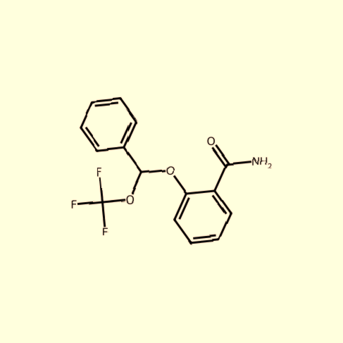 NC(=O)c1ccccc1OC(OC(F)(F)F)c1ccccc1